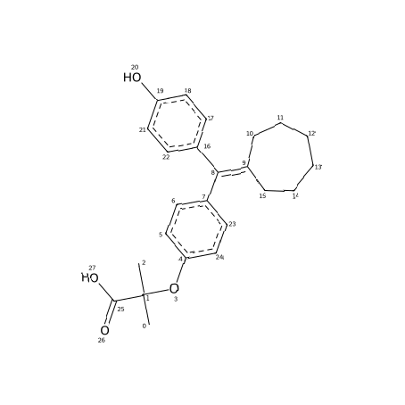 CC(C)(Oc1ccc(C(=C2CCCCCC2)c2ccc(O)cc2)cc1)C(=O)O